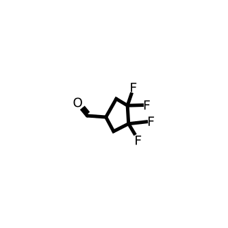 O=CC1CC(F)(F)C(F)(F)C1